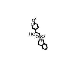 COc1ccc(C(O)CS(=O)(=O)N2CCc3ccccc3C2)cn1